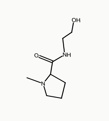 CN1CCCC1C(=O)NCCO